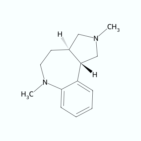 CN1C[C@@H]2CCN(C)c3ccccc3[C@H]2C1